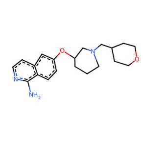 Nc1nccc2cc(OC3CCCN(CC4CCOCC4)C3)ccc12